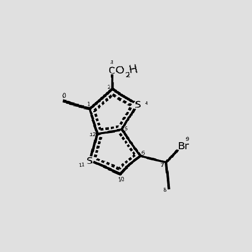 Cc1c(C(=O)O)sc2c(C(C)Br)csc12